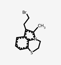 Cc1c(CCBr)c2cccc3c2n1CCS3